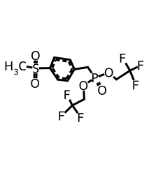 CS(=O)(=O)c1ccc(CP(=O)(OCC(F)(F)F)OCC(F)(F)F)cc1